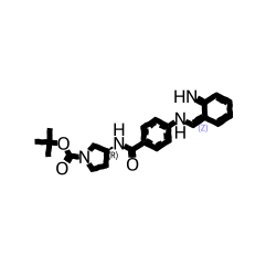 CC(C)(C)OC(=O)N1CC[C@@H](NC(=O)c2ccc(N/C=C3/C=CC=CC3=N)cc2)C1